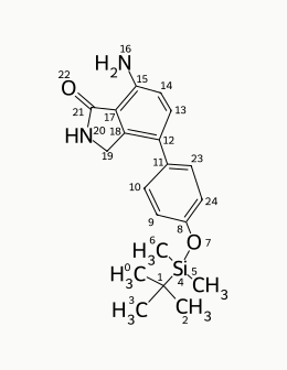 CC(C)(C)[Si](C)(C)Oc1ccc(-c2ccc(N)c3c2CNC3=O)cc1